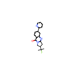 CC(C)(F)C1Cc2nc3cc(-c4ccccn4)ccc3c(=O)n2C1